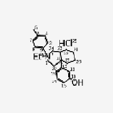 CC[N@+]1(c2ccc(C)cc2)CC[C@@]2(c3cccc(O)c3)CCCCC2C1.Cl